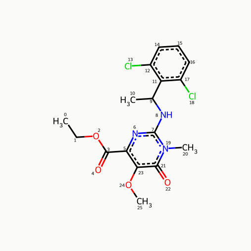 CCOC(=O)c1nc(NC(C)c2c(Cl)cccc2Cl)n(C)c(=O)c1OC